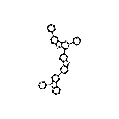 c1ccc(-c2ccc3oc4c(-c5ccc6c(c5)oc5ccc(-c7ccc8c(c7)c7ccccc7n8-c7ccccc7)cc56)nc(-c5ccccc5)nc4c3c2)cc1